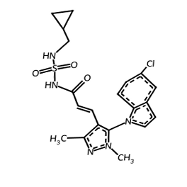 Cc1nn(C)c(-n2ccc3cc(Cl)ccc32)c1C=CC(=O)NS(=O)(=O)NCC1CC1